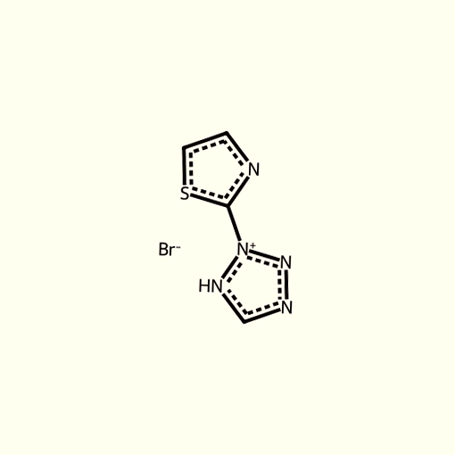 [Br-].c1csc(-[n+]2nnc[nH]2)n1